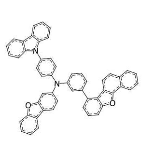 c1cc(-c2cccc3oc4c5ccccc5ccc4c23)cc(N(c2ccc(-n3c4ccccc4c4ccccc43)cc2)c2ccc3c(c2)oc2ccccc23)c1